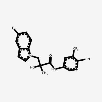 CC(O)(Cn1ccc2cc(F)ccc21)C(=O)Nc1cnc(C#N)c(C(F)(F)F)c1